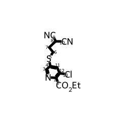 CCOC(=O)c1ncc(SCCC(C#N)C#N)cc1Cl